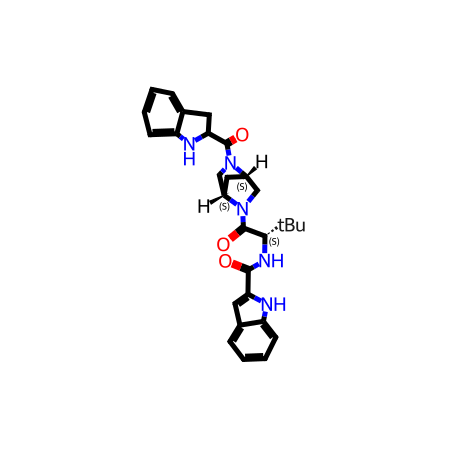 CC(C)(C)[C@H](NC(=O)c1cc2ccccc2[nH]1)C(=O)N1C[C@@H]2C[C@H]1CN2C(=O)C1Cc2ccccc2N1